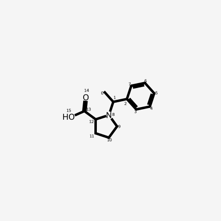 CC(c1ccccc1)N1CCCC1C(=O)O